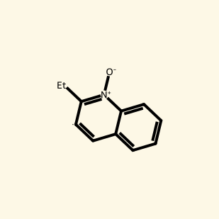 CCc1[c]cc2ccccc2[n+]1[O-]